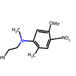 CNCCN(C)c1cc(OC)c([N+](=O)[O-])cc1C